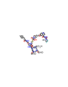 C#C[C@H]1CC(F)(F)CN1C(=O)CNC(=O)c1ccnc2ccc(OCCCC3CCN(C(=O)[C@H](O)CSCCNC(=O)[C@H](CCOCCNC(=O)CCCc4ccc(C)cc4)NC(=O)CN4CCN(COC=O)CCN(COC=O)CCN(CC(=O)O)CC4)CC3)cc12